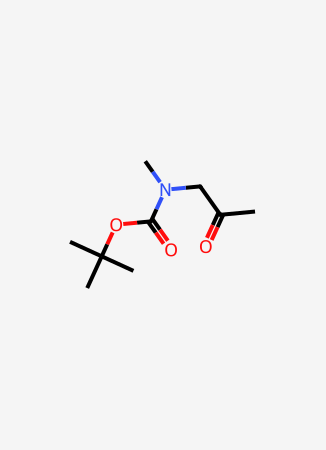 CC(=O)CN(C)C(=O)OC(C)(C)C